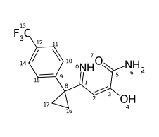 N=C(/C=C(/O)C(N)=O)C1(c2ccc(C(F)(F)F)cc2)CC1